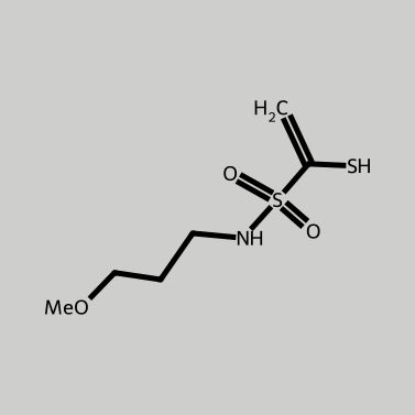 C=C(S)S(=O)(=O)NCCCOC